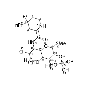 CCCC1(F)CCNC(C(=O)NC(C(C)Cl)C2OC(SC)C(OP(=O)(O)O)C(O)C2O)C1